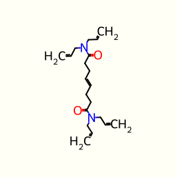 C=CCN(CC=C)C(=O)CCC=CCCC(=O)N(CC=C)CC=C